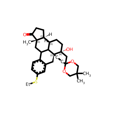 CCSc1ccc2c(c1)C[C@]13CCC4(C[C@]1(O)CC[C@@H]1C3C2C[C@]2(C)C(=O)CC[C@@H]12)OCC(C)(C)CO4